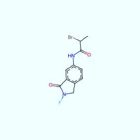 CC(Br)C(=O)Nc1ccc2c(c1)C(=O)N(F)C2